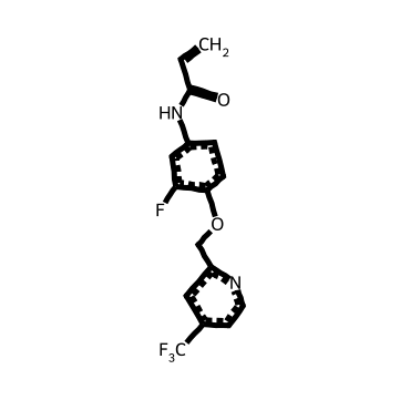 C=CC(=O)Nc1ccc(OCc2cc(C(F)(F)F)ccn2)c(F)c1